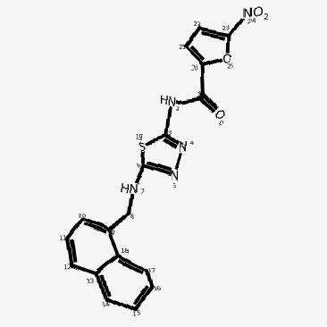 O=C(Nc1nnc(NCc2cccc3ccccc23)s1)c1ccc([N+](=O)[O-])o1